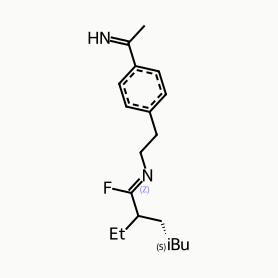 CCC(C[C@@H](C)CC)/C(F)=N/CCc1ccc(C(C)=N)cc1